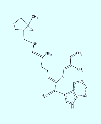 C=C/C(C)=C/S/C(=C\CC/C(N)=C/NCC12CCCS1(C)C2)C(=C)c1c[nH]c2ccccc12